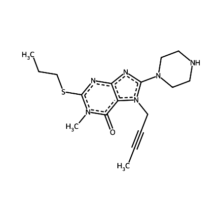 CC#CCn1c(N2CCNCC2)nc2nc(SCCC)n(C)c(=O)c21